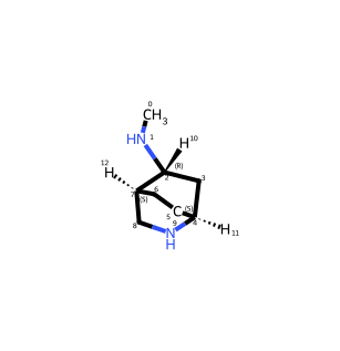 CN[C@@H]1C[C@@H]2CC[C@H]1CN2